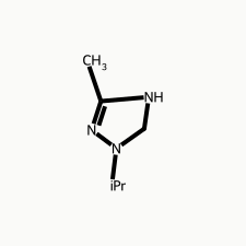 CC1=NN(C(C)C)CN1